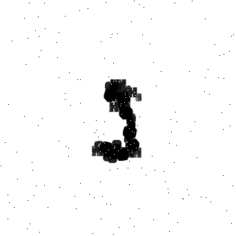 Cc1cnc(Nc2ccc(OCCN3CCC(CN4CCC[C@H](Nc5ccc6c(c5)C(=O)N(C5CCC(=O)NC5=O)C6=O)C4)CC3)cc2)nc1Nc1ccccc1S(N)(=O)=O